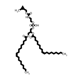 CCCCCCCC/C=C\CCCCCCCC(=O)OCC(COP(=O)(O)OCCNC(=O)OCC1C=C1C)OC(=O)CCCCCCC/C=C\CCCCCCCC